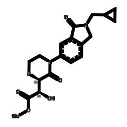 CC(C)(C)OC(=O)[C@H](O)[C@H]1OCCN(c2ccc3c(c2)C(=O)N(CC2CC2)C3)C1=O